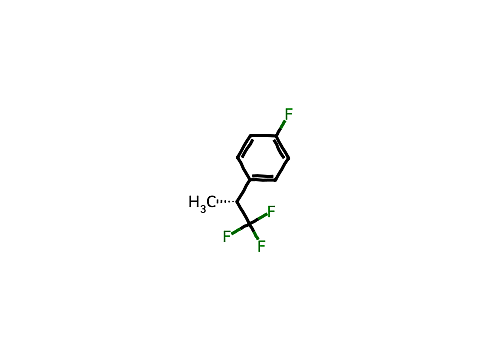 C[C@H](c1ccc(F)cc1)C(F)(F)F